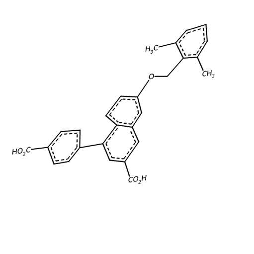 Cc1cccc(C)c1COc1ccc2c(-c3ccc(C(=O)O)cc3)cc(C(=O)O)cc2c1